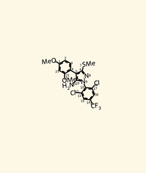 COc1ccc(-c2c(SC)nn(-c3c(Cl)cc(C(F)(F)F)cc3Cl)c2N)c(OC)c1